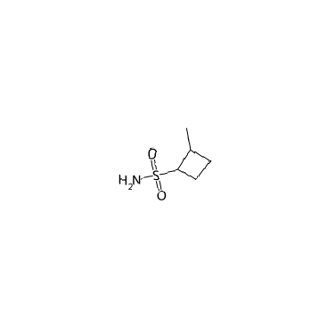 CC1CCC1S(N)(=O)=O